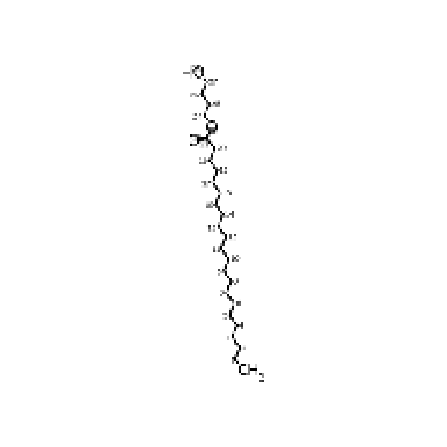 CCCCCCCCCCCCCCCCCCCCCC(=O)OCCCCO